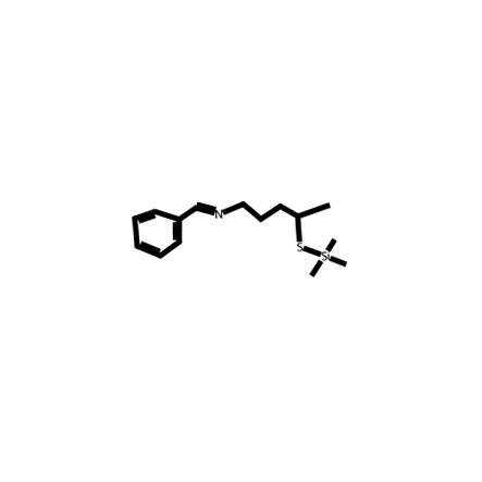 CC(CCCN=Cc1ccccc1)S[Si](C)(C)C